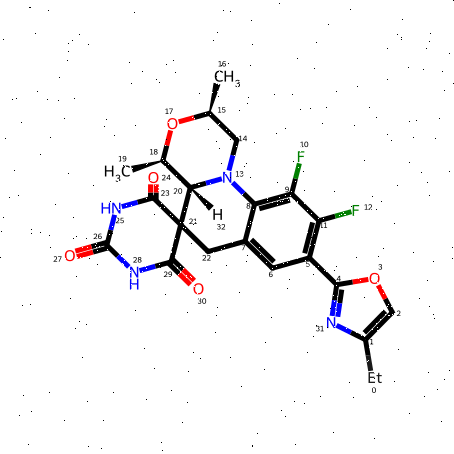 CCc1coc(-c2cc3c(c(F)c2F)N2C[C@H](C)O[C@H](C)[C@H]2C2(C3)C(=O)NC(=O)NC2=O)n1